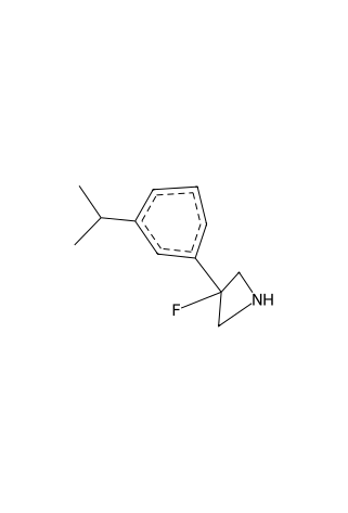 CC(C)c1cccc(C2(F)CNC2)c1